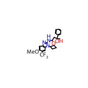 COc1cc2nc(NC(=O)CC(C)(O)c3ccccc3)n(C3CCC3)c2cc1C(F)(F)F